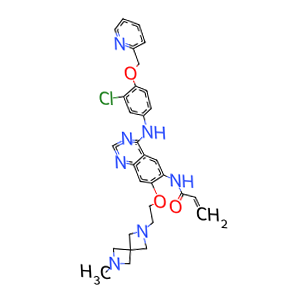 C=CC(=O)Nc1cc2c(Nc3ccc(OCc4ccccn4)c(Cl)c3)ncnc2cc1OCCN1CC2(CN(C)C2)C1